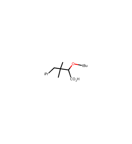 CC(C)CC(C)(C)C(OC(C)(C)C)C(=O)O